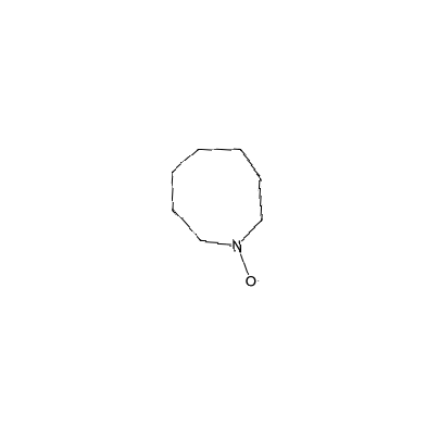 [O]N1CCCCCCC1